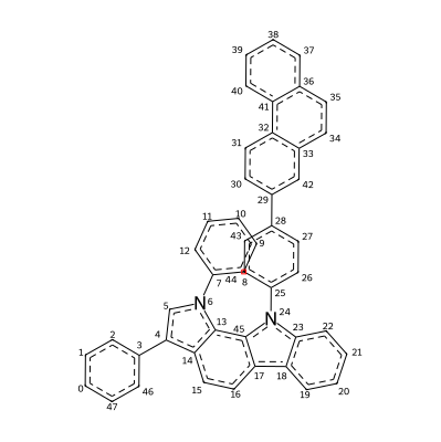 c1ccc(-c2cn(-c3ccccc3)c3c2ccc2c4ccccc4n(-c4ccc(-c5ccc6c(ccc7ccccc76)c5)cc4)c23)cc1